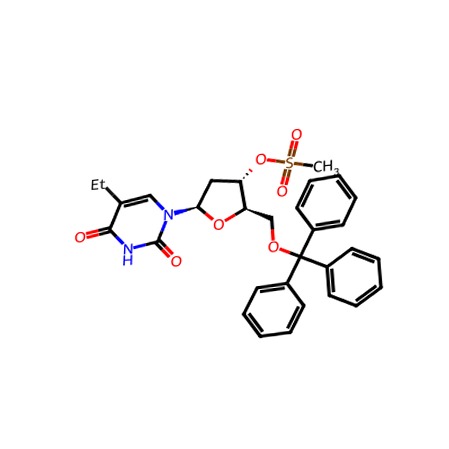 CCc1cn([C@H]2C[C@H](OS(C)(=O)=O)[C@@H](COC(c3ccccc3)(c3ccccc3)c3ccccc3)O2)c(=O)[nH]c1=O